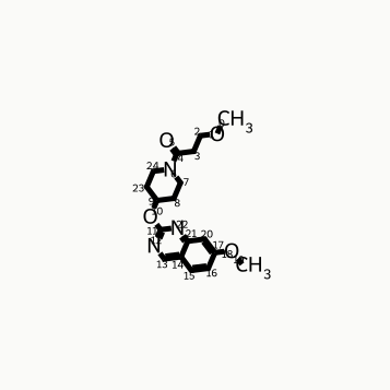 COCCC(=O)N1CCC(Oc2ncc3ccc(OC)cc3n2)CC1